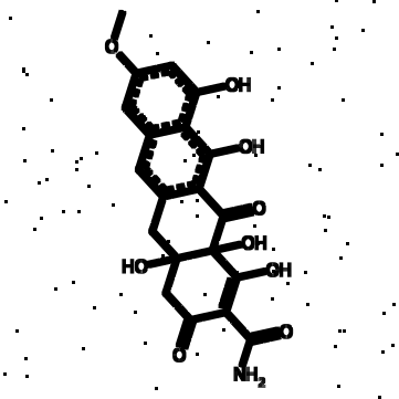 COc1cc(O)c2c(O)c3c(cc2c1)CC1(O)CC(=O)C(C(N)=O)=C(O)C1(O)C3=O